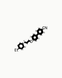 CC[C@H]1CC[C@H](CCCOc2ccc(-c3ccc(C#N)cc3)cc2)CC1